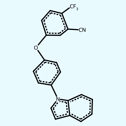 N#Cc1cc(Oc2ccc(-n3ccc4ccccc43)cc2)ccc1C(F)(F)F